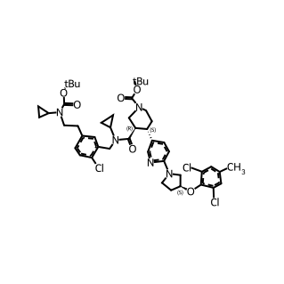 Cc1cc(Cl)c(O[C@H]2CCN(c3ccc([C@H]4CCN(C(=O)OC(C)(C)C)C[C@@H]4C(=O)N(Cc4cc(CCN(C(=O)OC(C)(C)C)C5CC5)ccc4Cl)C4CC4)cn3)C2)c(Cl)c1